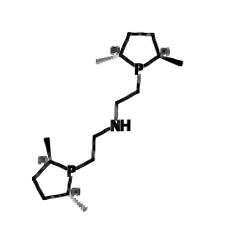 C[C@@H]1CC[C@@H](C)P1CCNCCP1[C@H](C)CC[C@H]1C